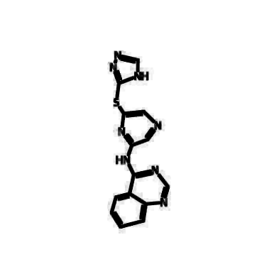 c1ccc2c(Nc3cncc(Sc4nnc[nH]4)n3)ncnc2c1